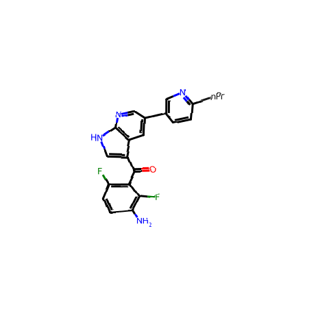 CCCc1ccc(-c2cnc3[nH]cc(C(=O)c4c(F)ccc(N)c4F)c3c2)cn1